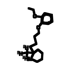 [2H]C([2H])([2H])C1(CCCCOc2ccccc2OCC)CCCC[Se]1